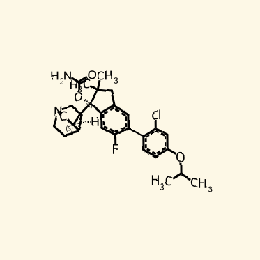 CC(C)Oc1ccc(-c2cc3c(cc2F)[C@@](OC(N)=O)([C@@H]2CN4CCC2CC4)C(C)(C)C3)c(Cl)c1